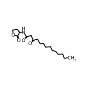 CCCCCCCCCCCC(=O)CC(=O)NC1CCOC1=O